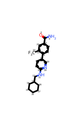 NC(=O)c1ccc(-c2ccc(NCC3CCCCC3)nc2)c(C(F)(F)F)c1